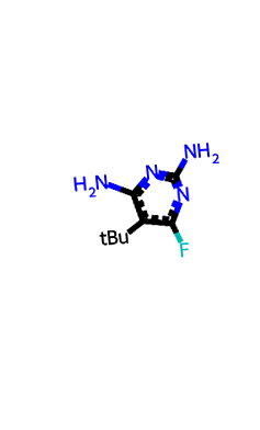 CC(C)(C)c1c(N)nc(N)nc1F